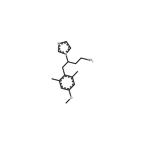 COc1cc(C)c(CC(CCN)n2ccnc2)c(C)c1